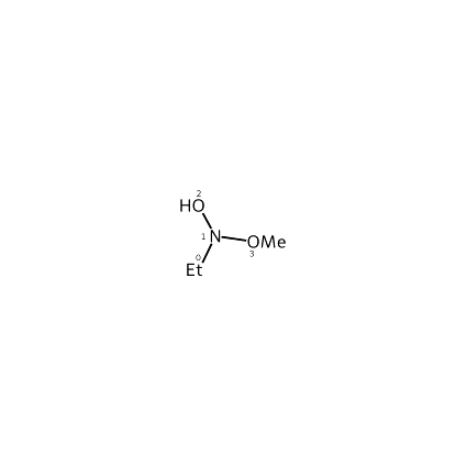 CCN(O)OC